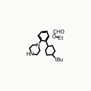 CC(C)(C)C1CCC(c2ccccc2N2CCNCC2)CC1.CCOC=O